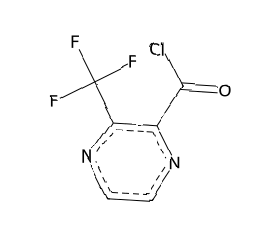 O=C(Cl)c1nccnc1C(F)(F)F